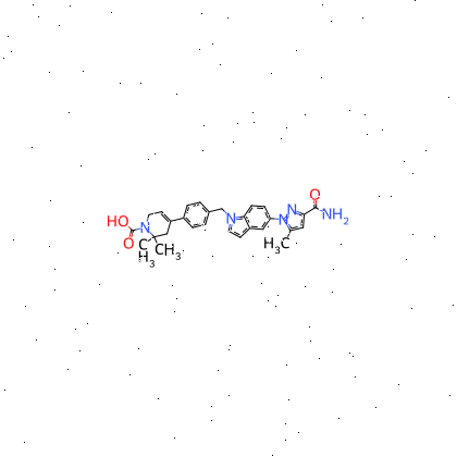 Cc1cc(C(N)=O)nn1-c1ccc2c(ccn2Cc2ccc(C3=CCN(C(=O)O)C(C)(C)C3)cc2)c1